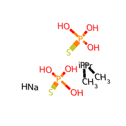 CC(C)C.CC(C)C.OP(O)(O)=S.OP(O)(O)=S.[NaH]